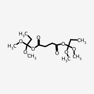 CCC(OC)(OC)OC(=O)CCC(=O)OC(CC)(OC)OC